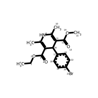 CCOC(=O)C1=C(C)NC(C)=C(C(=O)OC)C1c1ccc(Br)cc1